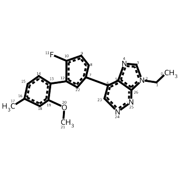 CCn1cnc2c(-c3ccc(F)c(-c4ccc(C)cc4OC)c3)cnnc21